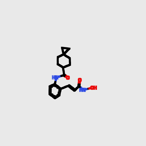 O=C(/C=C/c1ccccc1NC(=O)C1CCC2(CC1)CC2)NO